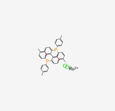 Cc1ccc(P(c2ccc(C)cc2)c2cccc(C)c2-c2c(C)cccc2P(c2ccc(C)cc2)c2ccc(C)cc2)cc1.[Cl-].[Cl-].[Ru+2]